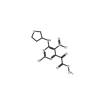 COC(=O)C(=O)c1nc(Cl)nc(NC2CCOC2)c1[N+](=O)[O-]